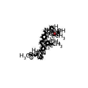 COC(=O)NCC(=O)N1CCC[C@H]1c1nc2ccc(C3CCC(c4ccc(-c5cnc([C@@H]6CCCN6C(=O)[C@@H](NC(=O)O)C(C)C)[nH]5)cc4)N3c3ccc(C(C)(C)C)cc3)cc2[nH]1